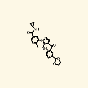 Cc1ccc(C(=O)NC2CC2)cc1-n1ncc(C(=O)c2cccc(C3OCCO3)c2)c1N